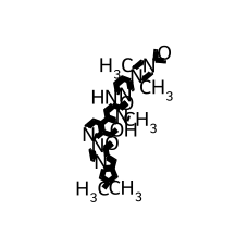 C[C@H]1CN(C2COC2)C[C@H](C)N1c1ccc(Nc2cc(-c3ccnc(-n4ccn5c6c(cc5c4=O)CC(C)(C)C6)c3CO)cn(C)c2=O)nc1